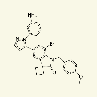 COc1ccc(CN2C(=O)C3(CCC3)c3cc(-c4ccnn4-c4cccc(N)c4)cc(Br)c32)cc1